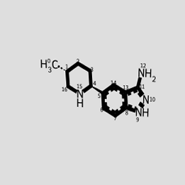 C[C@@H]1CC[C@@H](c2ccc3[nH]nc(N)c3c2)NC1